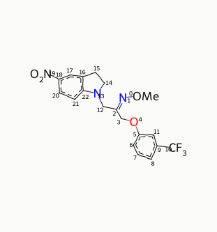 CON=C(COc1cccc(C(F)(F)F)c1)CN1CCc2cc([N+](=O)[O-])ccc21